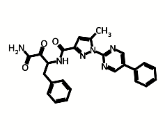 Cc1cc(C(=O)NC(Cc2ccccc2)C(=O)C(N)=O)nn1-c1ncc(-c2ccccc2)cn1